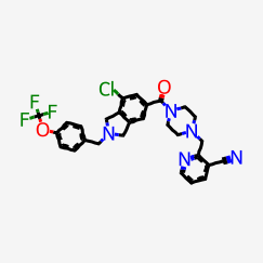 N#Cc1cccnc1CN1CCN(C(=O)c2cc(Cl)c3c(c2)CN(Cc2ccc(OC(F)(F)F)cc2)C3)CC1